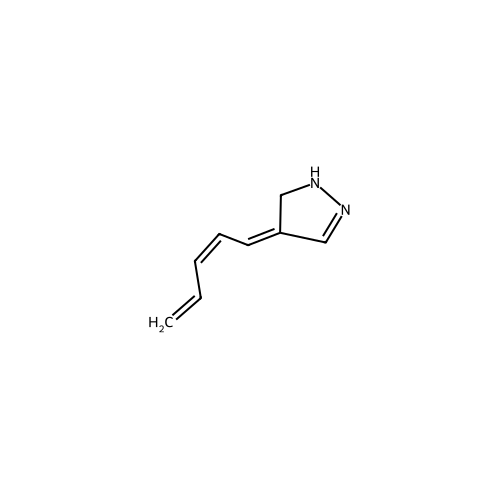 C=C/C=C\C=C1\C=NNC1